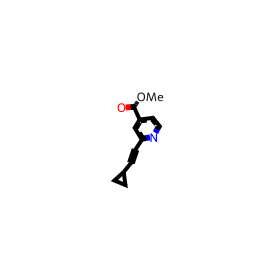 COC(=O)c1ccnc(C#CC2CC2)c1